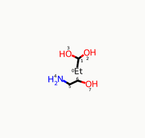 CCC(O)O.NCCO